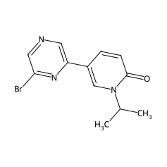 CC(C)n1cc(-c2cncc(Br)n2)ccc1=O